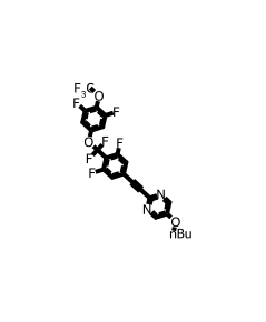 CCCCOc1cnc(C#Cc2cc(F)c(C(F)(F)Oc3cc(F)c(OC(F)(F)F)c(F)c3)c(F)c2)nc1